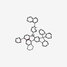 c1ccc(-c2ccc(N(c3ccc(-c4cccc5ccccc45)cc3)c3cc4c(cc3-c3cccc5c3CCCC5)-c3ccccc3C4(c3ccccc3)c3ccccc3)cc2)cc1